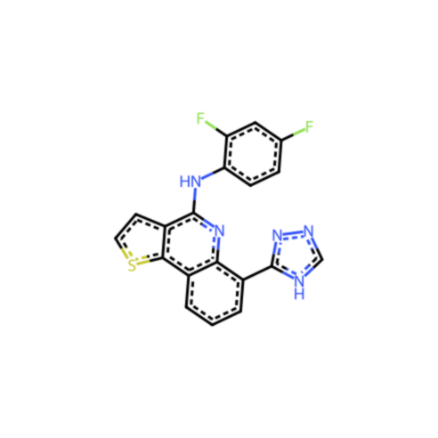 Fc1ccc(Nc2nc3c(-c4nnc[nH]4)cccc3c3sccc23)c(F)c1